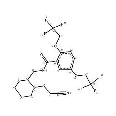 N#CCCN1CCCCC1CNC(=O)c1cc(OCC(F)(F)F)ccc1OCC(F)(F)F